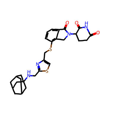 O=C1CCC(N2Cc3c(SCc4csc(CNC56CC7CC(CC(C7)C5)C6)n4)cccc3C2=O)C(=O)N1